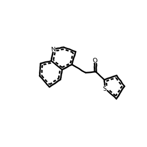 O=C(Cc1ccnc2ccccc12)c1cccs1